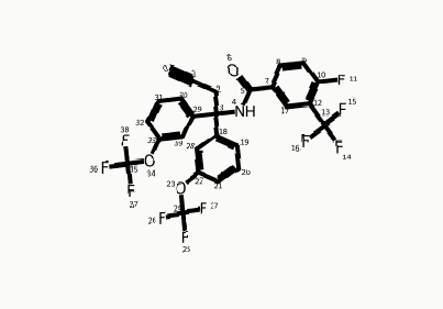 C#CCC(NC(=O)c1ccc(F)c(C(F)(F)F)c1)(c1cccc(OC(F)(F)F)c1)c1cccc(OC(F)(F)F)c1